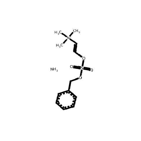 C[N+](C)(C)C=COS(=O)(=O)OCc1ccccc1.N